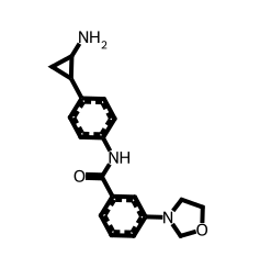 NC1CC1c1ccc(NC(=O)c2cccc(N3CCOC3)c2)cc1